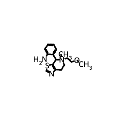 COCC[N+]1(C)CCc2ncsc2C1c1ccccc1N